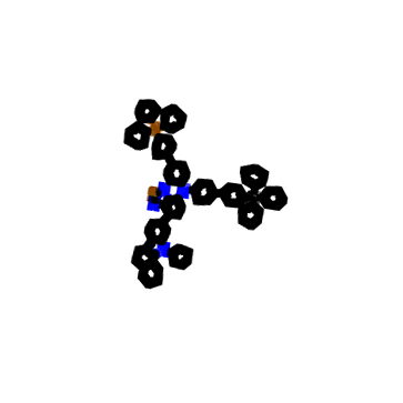 c1ccc(-n2c3cc(-c4ccc(N(c5ccc(-c6ccc([Si](c7ccccc7)(c7ccccc7)c7ccccc7)cc6)cc5)c5ccc(-c6ccc(S(c7ccccc7)(c7ccccc7)c7ccccc7)cc6)cc5)c5nsnc45)ccc3c3ccc4ccccc4c32)cc1